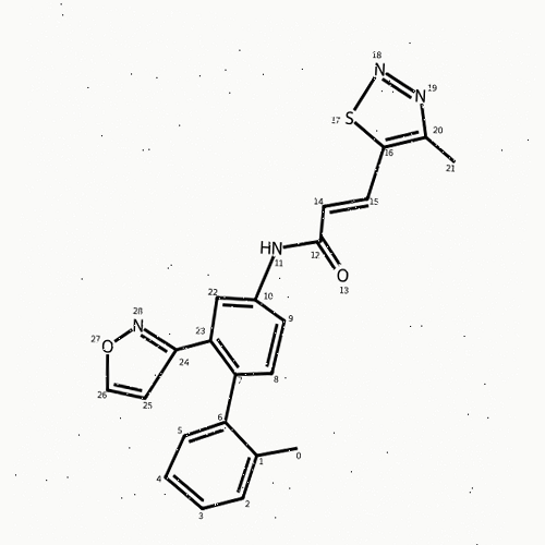 Cc1ccccc1-c1ccc(NC(=O)C=Cc2snnc2C)cc1-c1ccon1